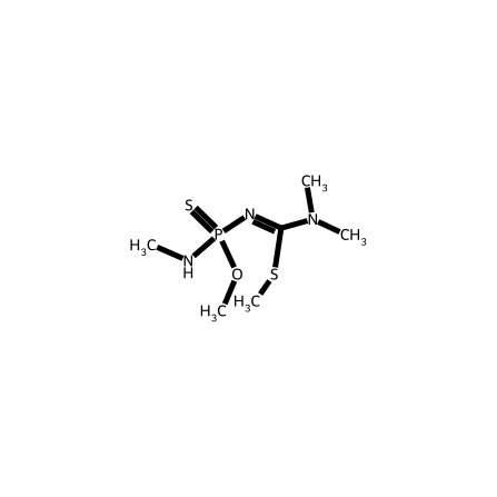 CNP(=S)(/N=C(\SC)N(C)C)OC